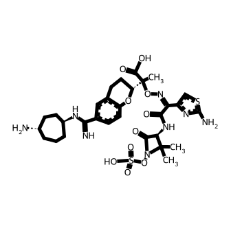 CC(O/N=C(\C(=O)N[C@@H]1C(=O)N(OS(=O)(=O)O)C1(C)C)c1csc(N)n1)(C(=O)O)[C@H]1CCc2cc(C(=N)N[C@H]3CCC[C@H](N)CC3)ccc2O1